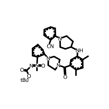 Cc1cc(C)c(C(=O)N2CCN(c3ccccc3S(C)(=O)=NC(=O)OC(C)(C)C)CC2)cc1NC1CCN(c2ccccc2C#N)CC1